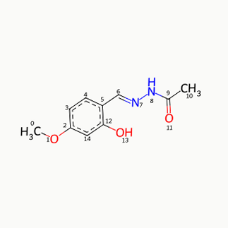 COc1ccc(/C=N/NC(C)=O)c(O)c1